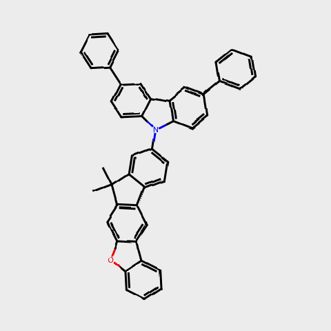 CC1(C)c2cc(-n3c4ccc(-c5ccccc5)cc4c4cc(-c5ccccc5)ccc43)ccc2-c2cc3c(cc21)oc1ccccc13